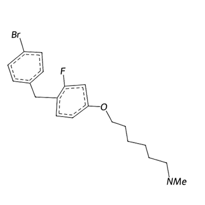 CNCCCCCCOc1ccc(Cc2ccc(Br)cc2)c(F)c1